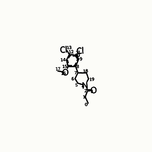 CCC(=O)N1CCC(c2cc(Cl)c(Cl)cc2OC)CC1